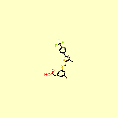 Cc1cc(CC(=O)O)cc(SCc2sc(-c3ccc(C(F)(F)F)cc3)nc2C)c1